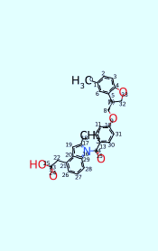 Cc1ccc2c(c1)[C@H](COc1ccc(C(=O)n3c(C)cc4c(CC(=O)O)cccc43)cc1)CO2